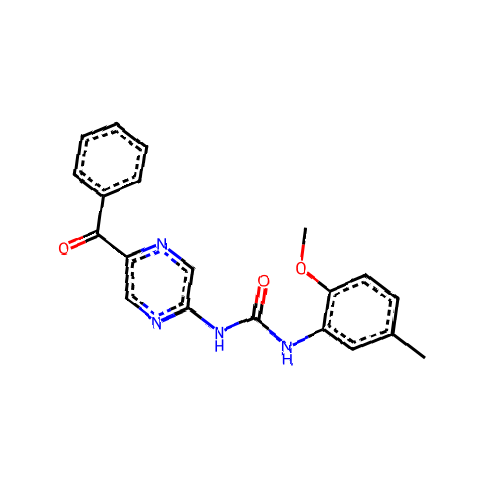 COc1ccc(C)cc1NC(=O)Nc1cnc(C(=O)c2ccccc2)cn1